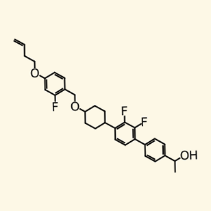 C=CCCOc1ccc(COC2CCC(c3ccc(-c4ccc(C(C)O)cc4)c(F)c3F)CC2)c(F)c1